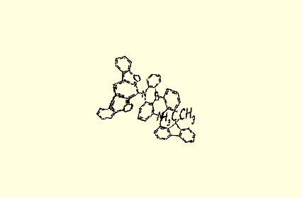 CC1(C)c2ccccc2-c2cccc(N3c4ccccc4B4c5ccccc5N(c5c6oc7ccccc7c6cc6c5oc5ccccc56)c5cccc3c54)c21